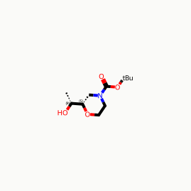 C[C@@H](O)[C@@H]1CN(C(=O)OC(C)(C)C)CCO1